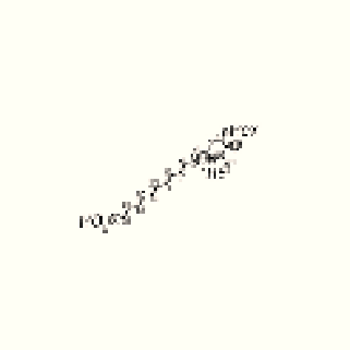 CCCCCCC(CCC=CC=CC=CC=CC=CC=CC(=O)O)C(=O)[C@@H](N)CS